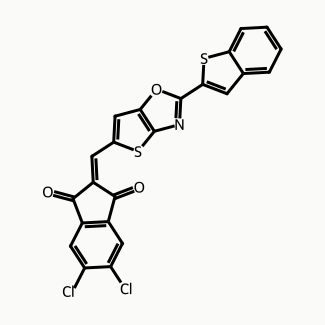 O=C1C(=Cc2cc3oc(-c4cc5ccccc5s4)nc3s2)C(=O)c2cc(Cl)c(Cl)cc21